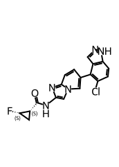 O=C(Nc1cn2cc(-c3c(Cl)ccc4[nH]ncc34)ccc2n1)[C@@H]1C[C@@H]1F